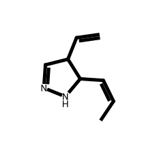 C=CC1C=NNC1/C=C\C